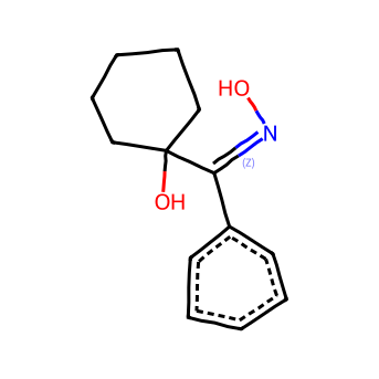 O/N=C(/c1ccccc1)C1(O)CCCCC1